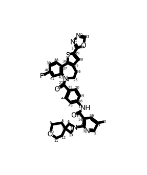 Cc1cnc(N2CC3(CCOCC3)C2)c(C(=O)Nc2ccc(C(=O)N3CCc4cc(-c5nnco5)sc4-c4ccc(F)cc43)cc2)c1